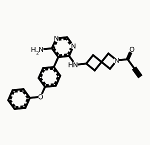 C#CC(=O)N1CC2(CC(Nc3ncnc(N)c3-c3ccc(Oc4ccccc4)cc3)C2)C1